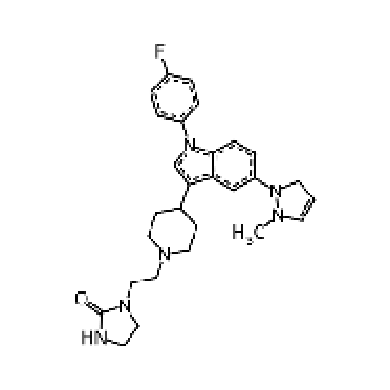 CN1C=CCN1c1ccc2c(c1)c(C1CCN(CCN3CCNC3=O)CC1)cn2-c1ccc(F)cc1